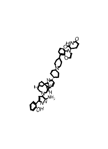 Nc1nnc(-c2ccccc2O)cc1N1CC[C@H]2CCC(c3nccc([C@H]4CC[C@@H](N5CCC(c6cccc7c6OCCN7C6CCC(=O)NC6=O)CC5)CC4)n3)(C2)C2C[C@H]2C1